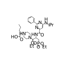 CCCCC(=O)O.CCOP(=O)(CC(NC(=O)c1cc(NC(C)C)nc(-c2ccccc2)n1)C(=O)N1CCNCC1)OCC